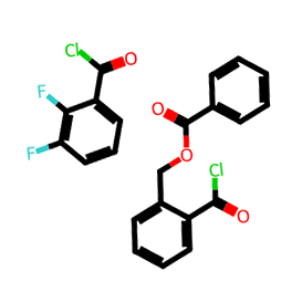 O=C(Cl)c1cccc(F)c1F.O=C(OCc1ccccc1C(=O)Cl)c1ccccc1